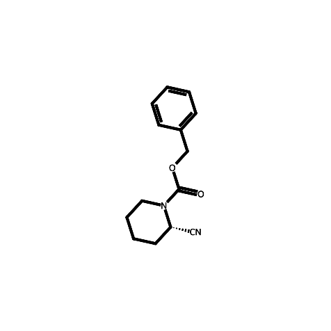 N#C[C@@H]1CCCCN1C(=O)OCc1ccccc1